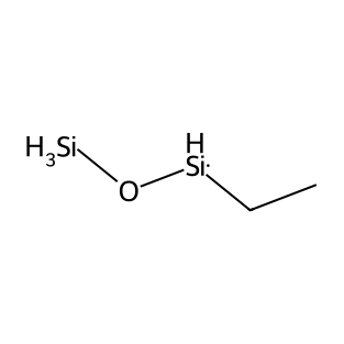 CC[SiH]O[SiH3]